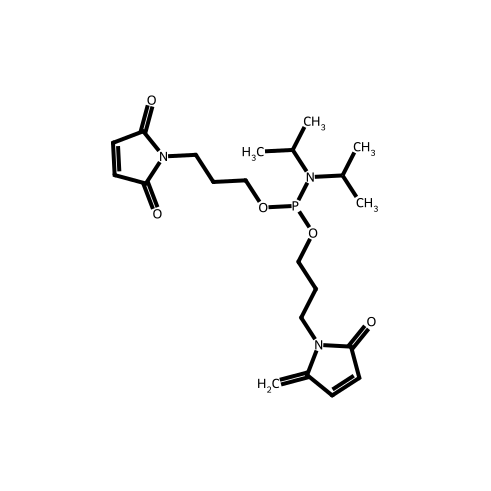 C=C1C=CC(=O)N1CCCOP(OCCCN1C(=O)C=CC1=O)N(C(C)C)C(C)C